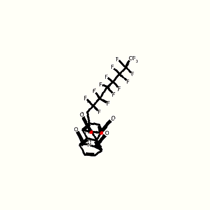 O=c1[nH]c(=O)c2ccc1c1c3cc(CC(F)(F)C(F)(F)C(F)(F)C(F)(F)C(F)(F)C(F)(F)C(F)(F)F)c(c(=O)[nH]c3=O)c21